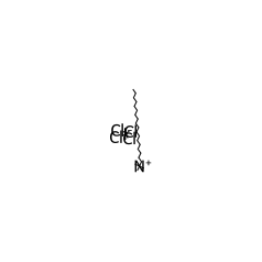 CCCCCCCCCCCCCCCCCC[N+](C)(C)C.Cl[I-](Cl)(Cl)Cl